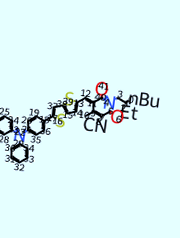 CCCCC(CC)CN1C(=O)C(C#N)=C(C)/C(=C\c2cc3sc(-c4ccc(N(c5ccccc5)c5ccccc5)cc4)cc3s2)C1=O